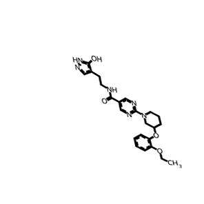 CCOc1ccccc1OC1CCCN(c2ncc(C(=O)NCCc3cn[nH]c3O)cn2)C1